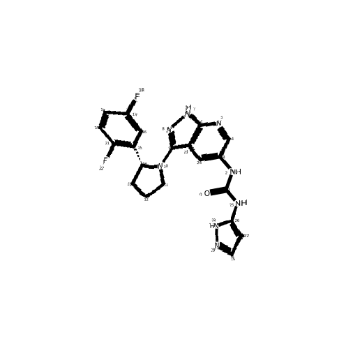 O=C(Nc1cnc2[nH]nc(N3CCC[C@@H]3c3cc(F)ccc3F)c2c1)Nc1ccn[nH]1